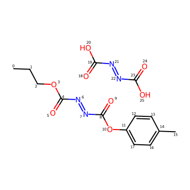 CCCOC(=O)N=NC(=O)Oc1ccc(C)cc1.O=C(O)N=NC(=O)O